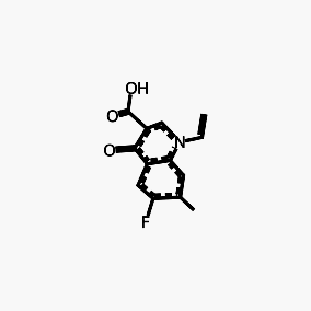 C=Cn1cc(C(=O)O)c(=O)c2cc(F)c(C)cc21